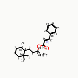 CCCC(CCC1[C@@H](C)CCCC1(C)C)OC(=O)/C=C/c1ccccc1